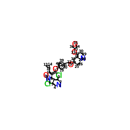 Clc1cncc(Cl)c1-c1noc(C2CC2)c1COC12CCC(COc3ccc4nccc(OC5COC5)c4c3)(CC1)CC2